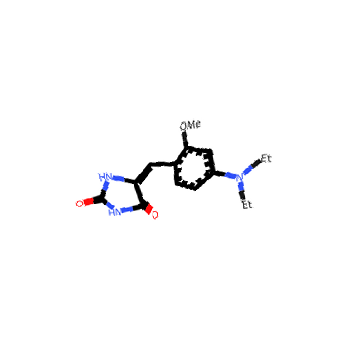 CCN(CC)c1ccc(C=C2NC(=O)NC2=O)c(OC)c1